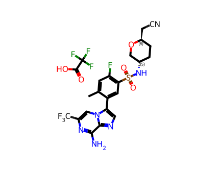 Cc1cc(F)c(S(=O)(=O)N[C@H]2CC[C@H](CC#N)OC2)cc1-c1cnc2c(N)nc(C(F)(F)F)cn12.O=C(O)C(F)(F)F